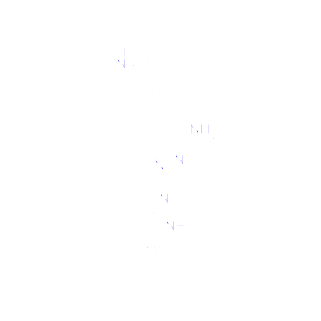 C=CC(=O)Nc1cccc(-n2cc(-c3ccc4c(c3)CCNC4=O)c(N)n2)n1